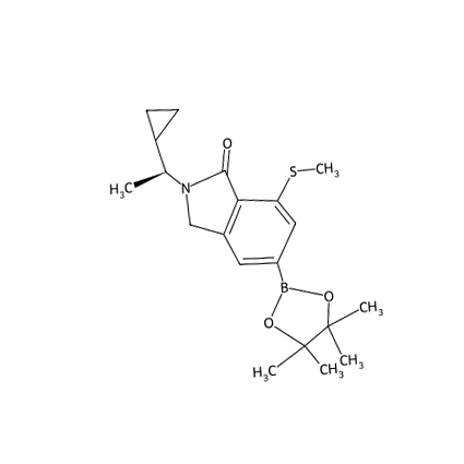 CSc1cc(B2OC(C)(C)C(C)(C)O2)cc2c1C(=O)N([C@@H](C)C1CC1)C2